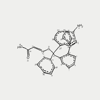 Nc1nc(-c2ccccc2C(ON=CC(=O)O)(c2ccccc2)c2ccccc2)cs1